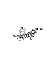 CCN(c1ccc2c(c1)nc(C(C)(C)OC)n2CC1CCOCC1)S(=O)(=O)c1ccc(NC(C)=O)cc1